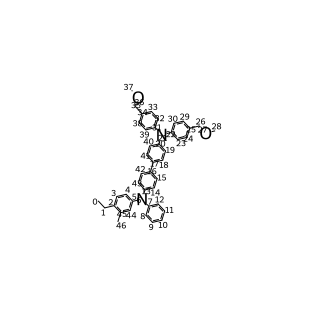 CCc1ccc(N(c2ccccc2)c2ccc(-c3ccc(N(c4ccc(COC)cc4)c4ccc(COC)cc4)cc3)cc2)cc1C